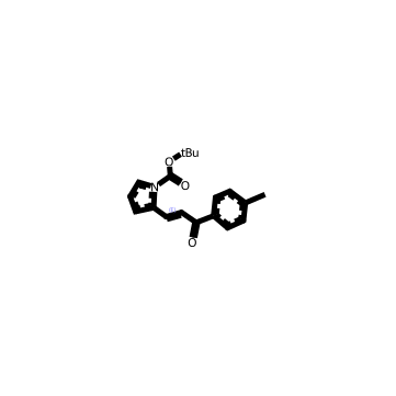 Cc1ccc(C(=O)/C=C/c2cccn2C(=O)OC(C)(C)C)cc1